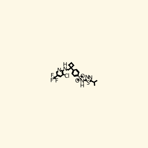 CC(C)c1nnc(NS(=O)(=O)c2ccc(C3(CNc4ncc(C(F)(F)F)cc4Cl)CCC3)cc2)s1